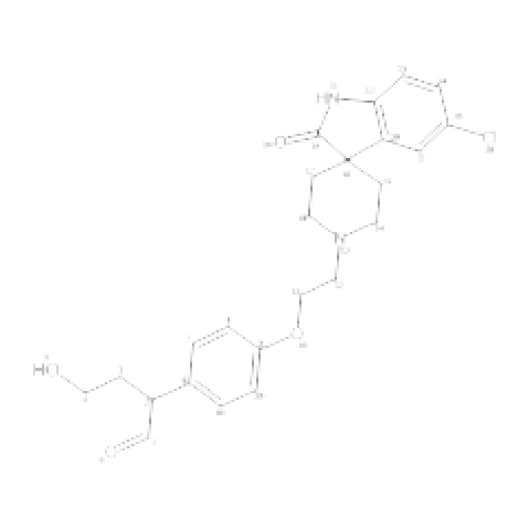 O=CC(CCO)c1ccc(OCCN2CCC3(CC2)C(=O)Nc2ccc(Cl)cc23)cc1